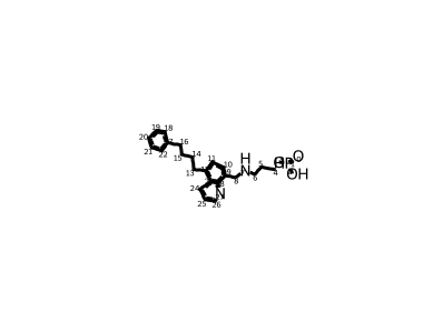 O=[PH](O)OCCCNCc1ccc(CCCCc2ccccc2)c2cccnc12